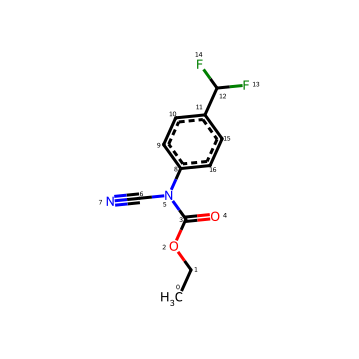 CCOC(=O)N(C#N)c1ccc(C(F)F)cc1